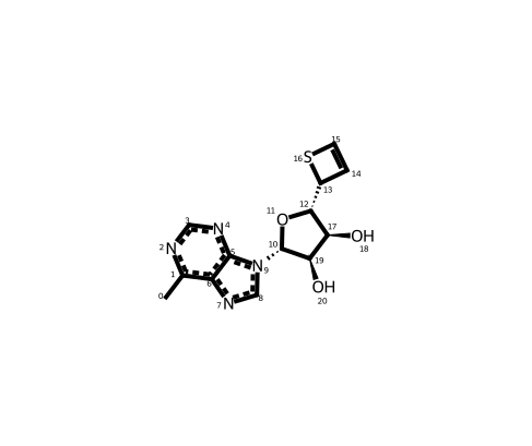 Cc1ncnc2c1ncn2[C@@H]1O[C@H](C2C=CS2)[C@@H](O)[C@H]1O